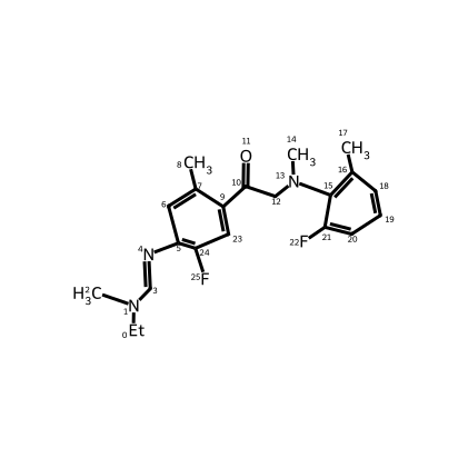 CCN(C)/C=N/c1cc(C)c(C(=O)CN(C)c2c(C)cccc2F)cc1F